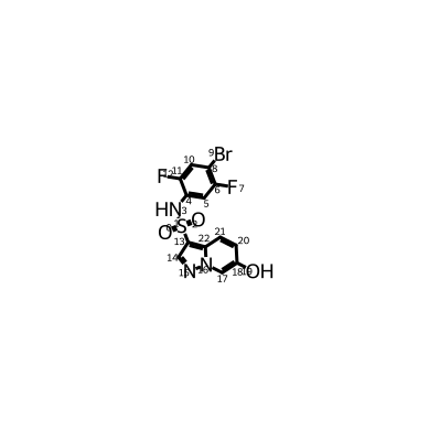 O=S(=O)(Nc1cc(F)c(Br)cc1F)c1cnn2cc(O)ccc12